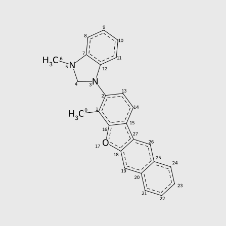 Cc1c(N2CN(C)c3ccccc32)ccc2c1oc1cc3ccccc3cc12